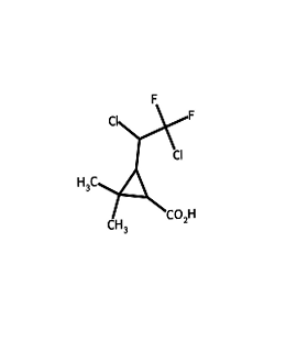 CC1(C)C(C(=O)O)C1C(Cl)C(F)(F)Cl